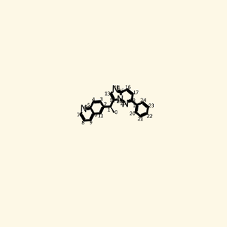 C[C@@H](c1ccc2ncccc2c1)c1cnc2ccc(-c3ccccc3)nn12